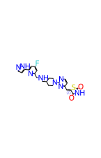 O=C1NC(=O)/C(=C/c2ccnc(N3CCC(CNCc4cc(F)cc(-c5ccn[nH]5)n4)CC3)n2)S1